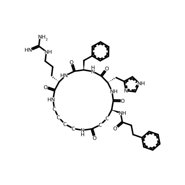 N=C(N)NCCC[C@@H]1NC(=O)[C@@H](Cc2ccccc2)NC(=O)[C@H](Cc2c[nH]cn2)NC(=O)[C@@H](NC(=O)CCc2ccccc2)CCC(=O)NCCCCNC1=O